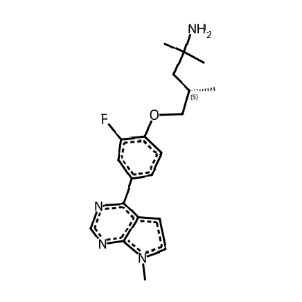 C[C@H](COc1ccc(-c2ncnc3c2ccn3C)cc1F)CC(C)(C)N